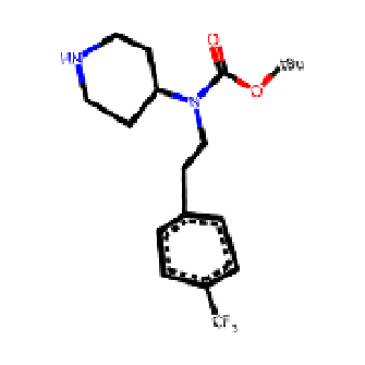 CC(C)(C)OC(=O)N(CCc1ccc(C(F)(F)F)cc1)C1CCNCC1